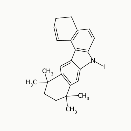 CC1(C)CCC(C)(C)c2cc3c(cc21)c1c2c(ccc1n3I)CCC=C2